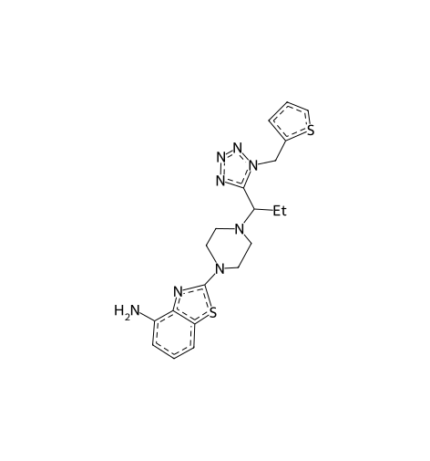 CCC(c1nnnn1Cc1cccs1)N1CCN(c2nc3c(N)cccc3s2)CC1